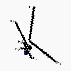 CCCCCCCCCCCCCCCCCCCC=CCCc1ccccc1C(=C(CCCCCC)C(=C=[N+]=[N-])CCCC)c1cccc(CCCCC)c1.CCCCCCCCCCCCCCCCCCCCCCCCCC[CH2][Ni][CH2]CCCCCCCCCCCCCCCCCCCCCCCCCC